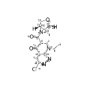 CCn1cc(C(=O)N2C[C@@H]3C[C@H]2CO3)c(=O)c2cc(Cl)nnc21